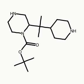 CC(C)(C)OC(=O)N1CCNCC1C(C)(C)C1CCNCC1